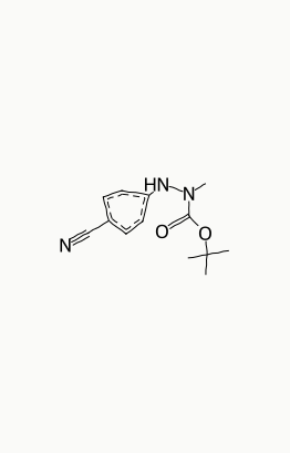 CN(Nc1ccc(C#N)cc1)C(=O)OC(C)(C)C